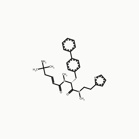 CN(CCc1cccs1)C(=O)[C@@H](Cc1ccc(-c2ccccc2)cc1)N(C)C(=O)/C=C/CC(C)(C)N